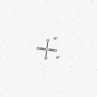 [H+].[K+].[O]=[Cr](=[O])([O-])[O-]